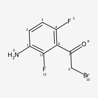 Nc1ccc(F)c(C(=O)CBr)c1F